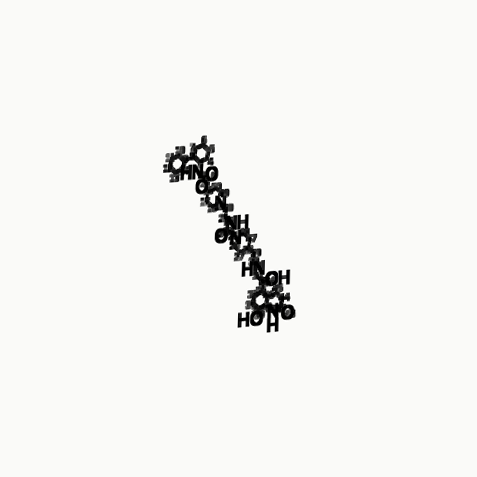 O=C(Nc1ccccc1-c1ccccc1)OC1CCN(CCNC(=O)N2CCC(CCNC[C@@H](O)c3ccc(O)c4[nH]c(=O)ccc34)CC2)CC1